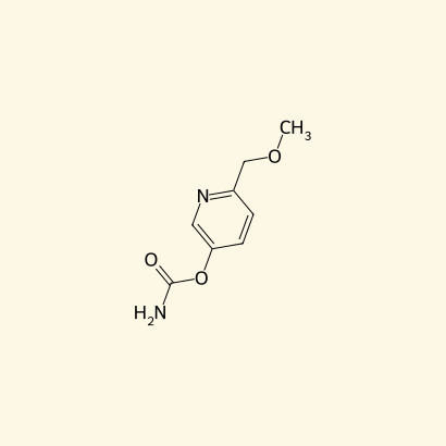 COCc1ccc(OC(N)=O)cn1